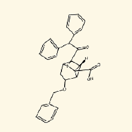 O=C(O)[C@@H]1C2CCC(CC2OCc2ccccc2)N1C(=O)C(c1ccccc1)c1ccccc1